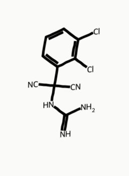 N#CC(C#N)(NC(=N)N)c1cccc(Cl)c1Cl